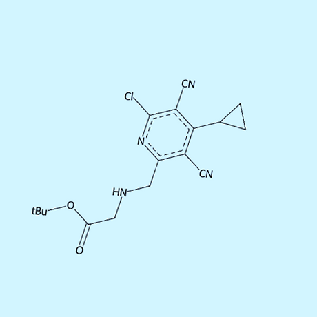 CC(C)(C)OC(=O)CNCc1nc(Cl)c(C#N)c(C2CC2)c1C#N